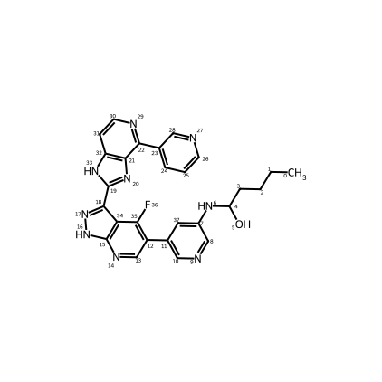 CCCCC(O)Nc1cncc(-c2cnc3[nH]nc(-c4nc5c(-c6cccnc6)nccc5[nH]4)c3c2F)c1